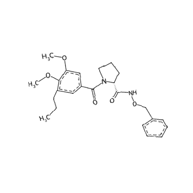 CCCc1cc(C(=O)N2CCC[C@@H]2C(=O)NOCc2ccccc2)cc(OC)c1OC